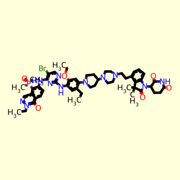 CCOc1cc(N2CCC(N3CCN(CCc4cccc5c4C(C)(C)C(=O)N5C4CCC(=O)NC4=O)CC3)CC2)c(CC)cc1Nc1ncc(Br)c(Nc2ccc3c(=O)n(CC)ncc3c2P(C)(C)=O)n1